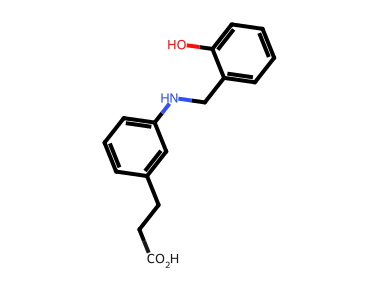 O=C(O)CCc1cccc(NCc2ccccc2O)c1